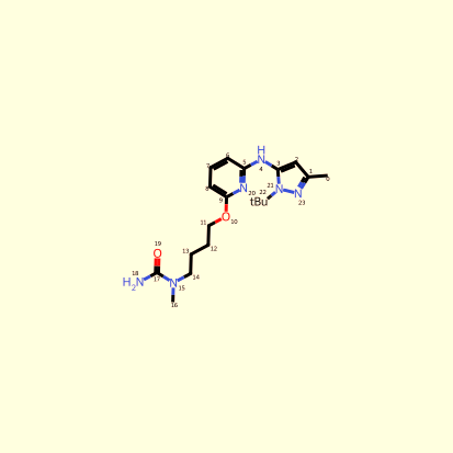 Cc1cc(Nc2cccc(OCCCCN(C)C(N)=O)n2)n(C(C)(C)C)n1